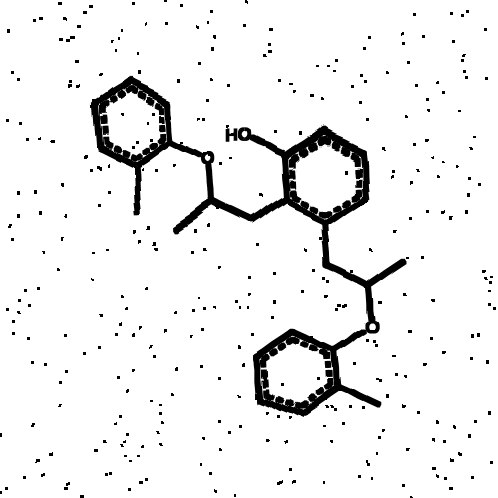 Cc1ccccc1OC(C)Cc1cccc(O)c1CC(C)Oc1ccccc1C